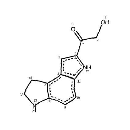 O=C(CO)c1cc2c3c(ccc2[nH]1)NCC3